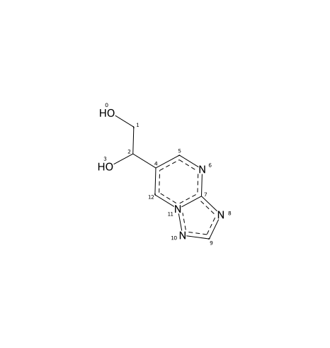 OCC(O)c1cnc2ncnn2c1